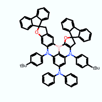 CC(C)(C)c1ccc(N2C3=C(OC4(C3)c3ccccc3-c3ccccc34)B3c4cc5c(cc4N(c4ccc(C(C)(C)C)cc4)c4cc(N(c6ccccc6)c6ccccc6)cc2c43)OC2(C5)c3ccccc3-c3ccccc32)cc1